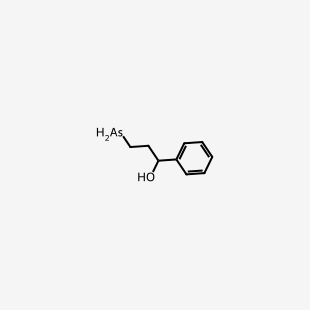 OC(CC[AsH2])c1ccccc1